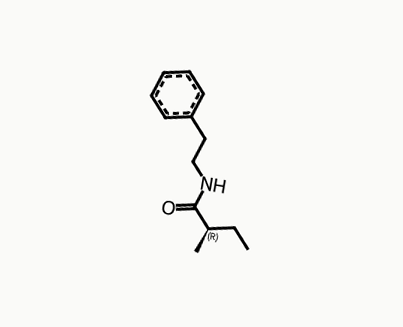 CC[C@@H](C)C(=O)NCCc1ccccc1